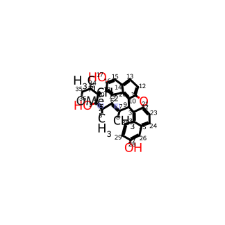 C=C(/C(O)=C(C)\C=C(/C)C1c2c(ccc3cc(O)ccc23)Oc2ccc3cc(O)ccc3c21)[C@@H](C)COC